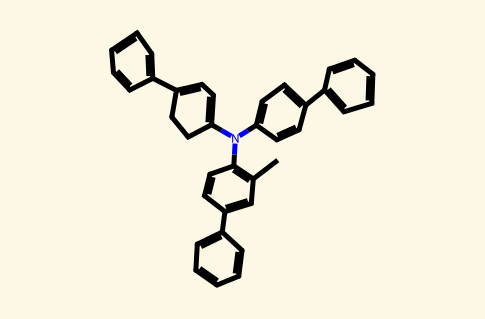 Cc1cc(-c2ccccc2)ccc1N(C1=CC=C(c2ccccc2)CC1)c1ccc(-c2ccccc2)cc1